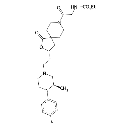 CCOC(=O)NCC(=O)N1CCC2(CC1)C[C@H](CCN1CCN(c3ccc(F)cc3)[C@H](C)C1)OC2=O